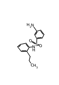 CCCc1ccccc1NS(=O)(=O)c1cccc(N)c1